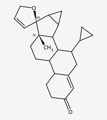 C[C@]12CCC3C4CCC(=O)C=C4CC(C4CC4)C3C1C1CC1[C@@]21C=CCO1